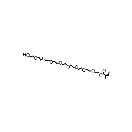 CC=C(C)C(=O)OCCOCCOCCOCCOCCOCCOCCOCCOCCO